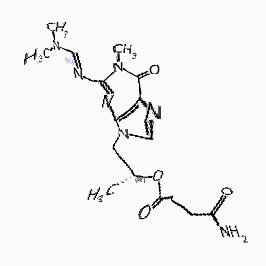 C[C@H](Cn1cnc2c(=O)n(C)c(/N=C/N(C)C)nc21)OC(=O)CCC(N)=O